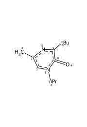 CCCn1cc(C)nc(C(C)(C)C)c1=O